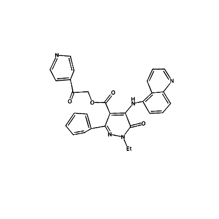 CCn1nc(-c2ccccc2)c(C(=O)OCC(=O)c2ccncc2)c(Nc2cccc3ncccc23)c1=O